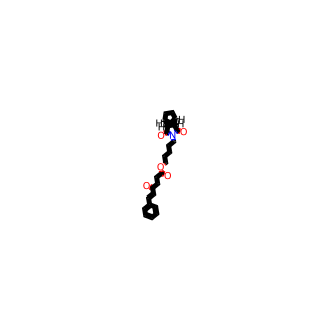 O=C(/C=C/c1ccccc1)CCC(=O)OCCCCCN1C(=O)[C@@H]2[C@H]3CC[C@H](C3)[C@@H]2C1=O